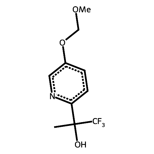 COCOc1ccc(C(C)(O)C(F)(F)F)nc1